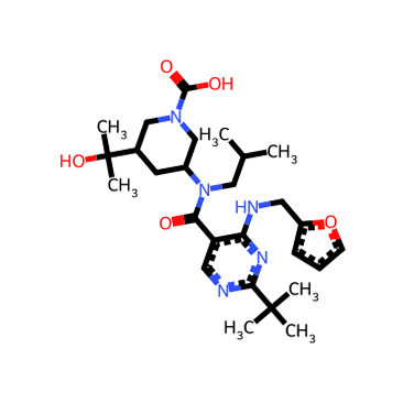 CC(C)CN(C(=O)c1cnc(C(C)(C)C)nc1NCc1ccco1)C1CC(C(C)(C)O)CN(C(=O)O)C1